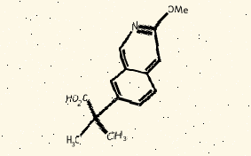 COc1cc2ccc(C(C)(C)C(=O)O)cc2cn1